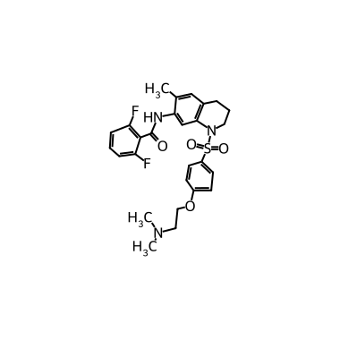 Cc1cc2c(cc1NC(=O)c1c(F)cccc1F)N(S(=O)(=O)c1ccc(OCCN(C)C)cc1)CCC2